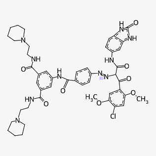 COc1cc(C(=O)C(/N=N/c2ccc(C(=O)Nc3cc(C(=O)NCCN4CCCCC4)cc(C(=O)NCCN4CCCCC4)c3)cc2)C(=O)Nc2ccc3[nH]c(=O)[nH]c3c2)c(OC)cc1Cl